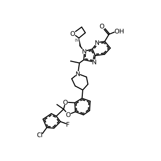 CC(c1nc2ccc(C(=O)O)nc2n1C[C@@H]1CCO1)N1CCC(c2cccc3c2OC(C)(c2ccc(Cl)cc2F)O3)CC1